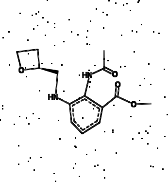 COC(=O)c1cccc(NC[C@@H]2CCO2)c1NC(C)=O